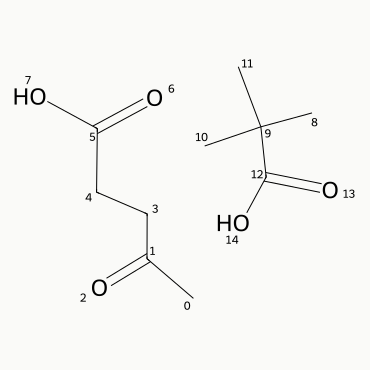 CC(=O)CCC(=O)O.CC(C)(C)C(=O)O